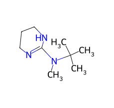 CN(C1=NCCCN1)C(C)(C)C